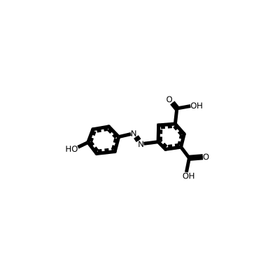 O=C(O)c1cc(N=Nc2ccc(O)cc2)cc(C(=O)O)c1